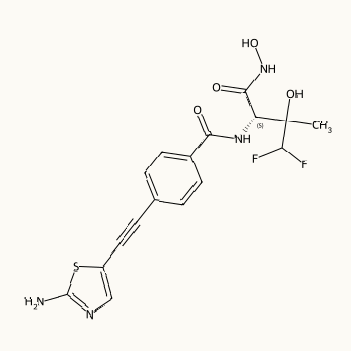 CC(O)(C(F)F)[C@H](NC(=O)c1ccc(C#Cc2cnc(N)s2)cc1)C(=O)NO